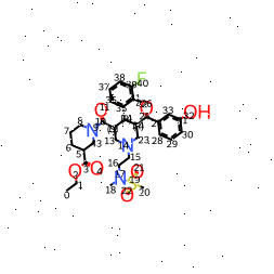 CCOC(=O)C1CCCN(C(=O)[C@@H]2CN(CCN(C)S(C)(=O)=O)C[C@H](C(=O)c3cccc(O)c3)[C@H]2c2cccc(F)c2C)C1